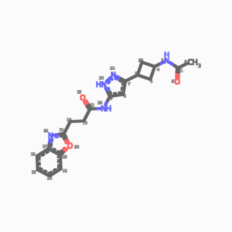 CC(=O)NC1CC(c2cc(NC(=O)CCc3nc4ccccc4o3)[nH]n2)C1